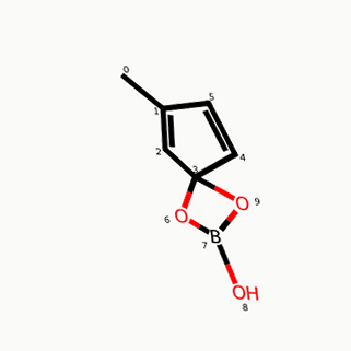 CC1=CC2(C=C1)OB(O)O2